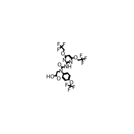 O=C(O)CN(C(=O)Nc1nc(OCC(F)(F)F)cc(OCC(F)(F)F)n1)c1ccc(OC(F)(F)F)cc1